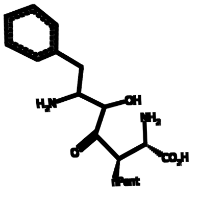 CCCCC[C@@H](C(=O)C(O)C(N)Cc1ccccc1)[C@H](N)C(=O)O